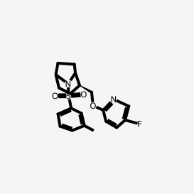 Cc1cccc(S(=O)(=O)N2C3CCC2[C@@H](COc2ccc(F)cn2)CC3)c1